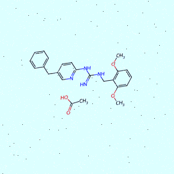 CC(=O)O.COc1cccc(OC)c1CNC(=N)Nc1ccc(Cc2ccccc2)cn1